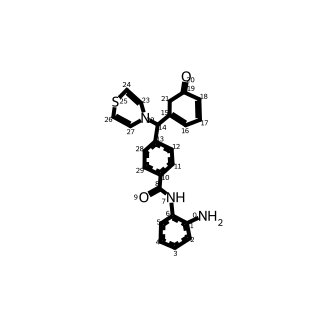 Nc1ccccc1NC(=O)c1ccc(C(C2=CC=CC(=O)C2)N2C=CSC=C2)cc1